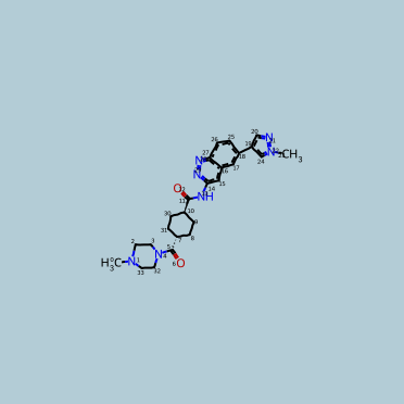 CN1CCN(C(=O)[C@H]2CC[C@H](C(=O)Nc3cc4cc(-c5cnn(C)c5)ccc4nn3)CC2)CC1